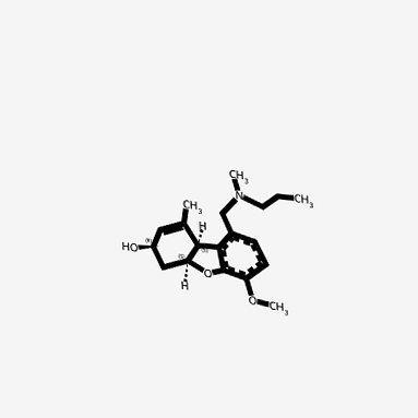 CCCN(C)Cc1ccc(OC)c2c1[C@@H]1C(C)=C[C@H](O)C[C@@H]1O2